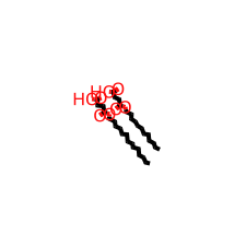 CCCCCCCCCCCCCCOC(=O)CCC(=O)O.CCCCCCCCCCCCOC(=O)CCC(=O)O